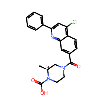 C[C@H]1CN(C(=O)c2ccc3c(Cl)cc(-c4ccccc4)nc3c2)CCN1C(=O)O